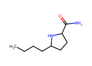 CCCCC1CCC(C(N)=O)N1